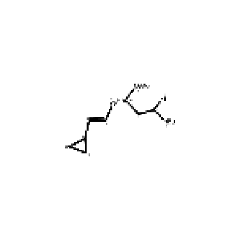 CCCCC(CC)C[SiH](OC)OC=CC1CC1